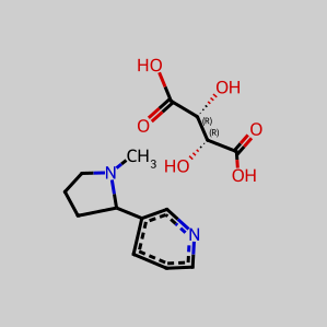 CN1CCCC1c1cccnc1.O=C(O)[C@H](O)[C@@H](O)C(=O)O